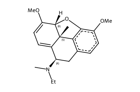 CCN(C)[C@@H]1Cc2ccc(OC)c3c2[C@]2(C)C1=CC=C(OC)[C@@H]2O3